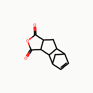 O=C1OC(=O)C2C1CC1C3C=CC(C3)C12